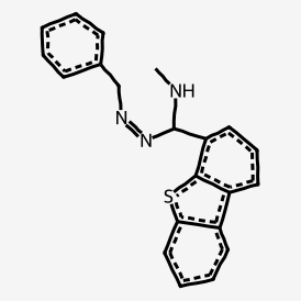 CNC(/N=N\Cc1ccccc1)c1cccc2c1sc1ccccc12